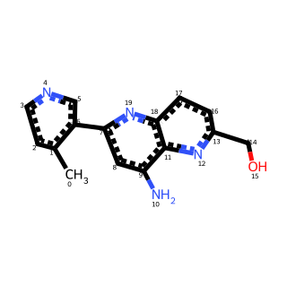 Cc1ccncc1-c1cc(N)c2nc([CH]O)ccc2n1